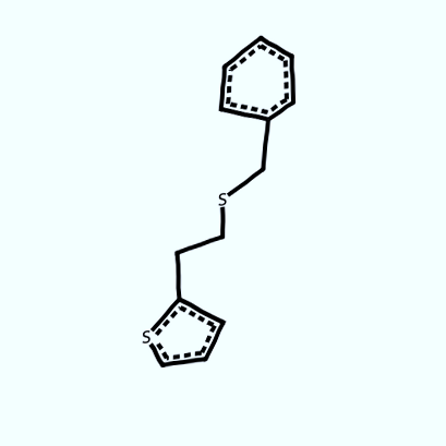 c1ccc(CSCCc2cccs2)cc1